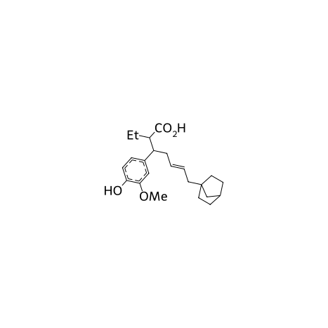 CCC(C(=O)O)C(CC=CCC12CCC(CC1)C2)c1ccc(O)c(OC)c1